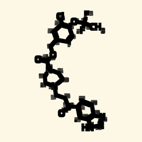 CC(F)(F)Oc1ccc(COC(=O)N2CCN(CC[S+]([O-])c3ccc4nn[nH]c4c3)CC2)cc1Cl